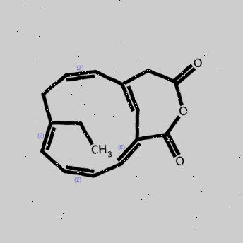 CC\C1=C/C=C\C=C2C=C(/C=C\C1)CC(=O)OC/2=O